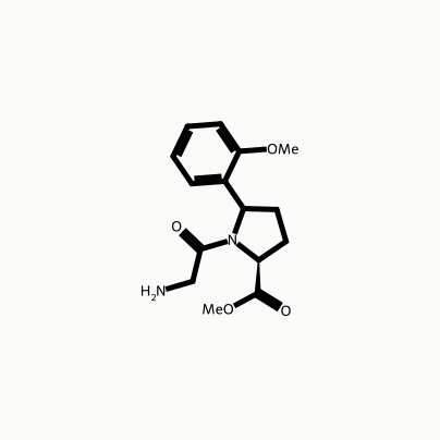 COC(=O)[C@@H]1CCC(c2ccccc2OC)N1C(=O)CN